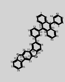 c1ccc(-c2c3ccccc3c(-c3cccc(-c4ccc5sc6cc7c(cc6c5c4)sc4ccccc47)c3)c3ccccc23)cc1